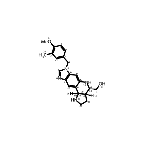 COc1ccc(Cn2cnc3cc4c(cc32)N[C@@H](CO)[C@@H]2CCN[C@H]42)cc1C